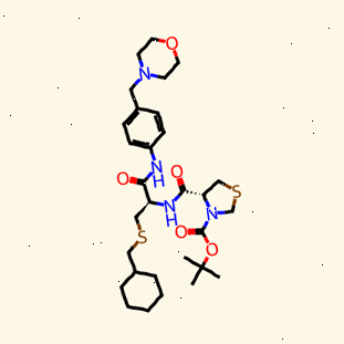 CC(C)(C)OC(=O)N1CSC[C@H]1C(=O)N[C@@H](CSCC1CCCCC1)C(=O)Nc1ccc(CN2CCOCC2)cc1